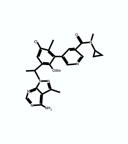 COc1c(C(C)n2nc(C)c3c(N)ncnc32)cc(Cl)c(C)c1-c1cncc(C(=O)N(C)C2CC2)c1